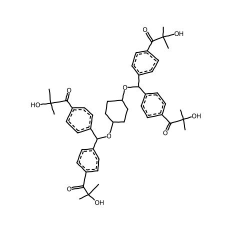 CC(C)(O)C(=O)c1ccc(C(OC2CCC(OC(c3ccc(C(=O)C(C)(C)O)cc3)c3ccc(C(=O)C(C)(C)O)cc3)CC2)c2ccc(C(=O)C(C)(C)O)cc2)cc1